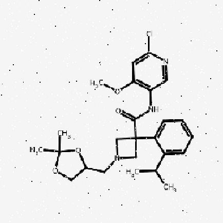 COc1cc(Cl)ncc1NC(=O)C1(c2ccccc2C(C)C)CN(CC2COC(C)(C)O2)C1